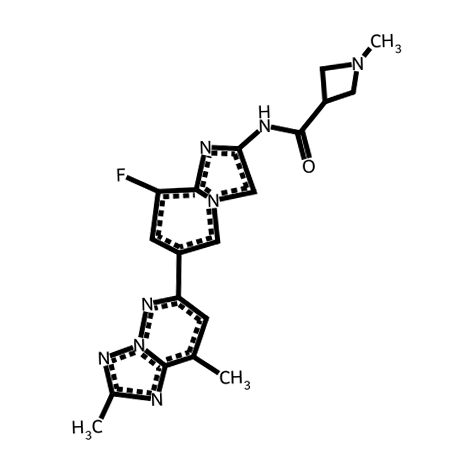 Cc1nc2c(C)cc(-c3cc(F)c4nc(NC(=O)C5CN(C)C5)cn4c3)nn2n1